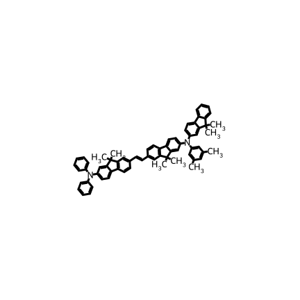 Cc1cc(C)cc(N(c2ccc3c(c2)C(C)(C)c2ccccc2-3)c2ccc3c(c2)C(C)(C)c2cc(/C=C/c4ccc5c(c4)C(C)(C)c4cc(N(c6ccccc6)c6ccccc6)ccc4-5)ccc2-3)c1